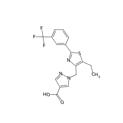 CCc1sc(-c2cccc(C(F)(F)F)c2)nc1Cn1cc(C(=O)O)cn1